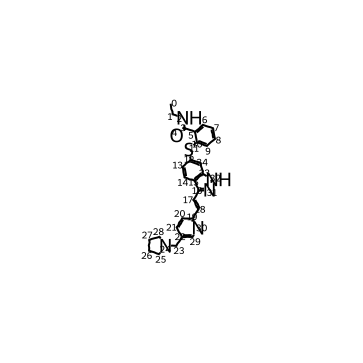 CCNC(=O)c1ccccc1Sc1ccc2c(/C=C/c3ccc(CN4CCCC4)cn3)n[nH]c2c1